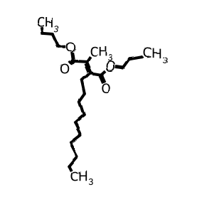 CCCCCCCCCCC(C(=O)OCCCC)=C(C)C(=O)OCCCC